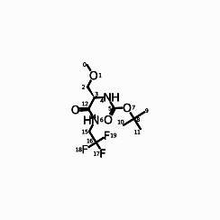 COC[C@@H](NC(=O)OC(C)(C)C)C(=O)NCC(F)(F)F